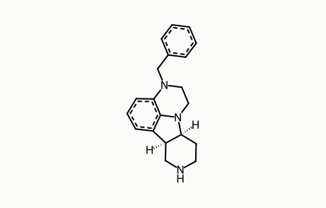 c1ccc(CN2CCN3c4c(cccc42)[C@@H]2CNCC[C@@H]23)cc1